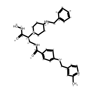 Cc1cc(COc2ccc(C(=O)NC[C@@H](C(=O)NO)N3CCC(NCc4ccccc4)CC3)cc2)ccn1